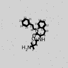 CC(C)(N)CC(=O)NC1CCc2ccccc2N(CCc2ccccc2)C1=O